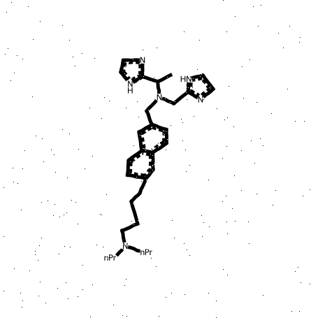 CCCN(CCC)CCCCc1ccc2cc(CN(Cc3ncc[nH]3)C(C)c3ncc[nH]3)ccc2c1